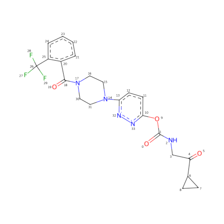 O=C(NCC(=O)C1CC1)Oc1ccc(N2CCN(C(=O)c3ccccc3C(F)(F)F)CC2)nn1